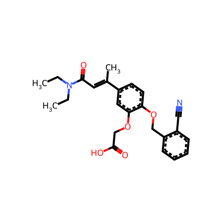 CCN(CC)C(=O)C=C(C)c1ccc(OCc2ccccc2C#N)c(OCC(=O)O)c1